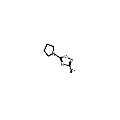 CC(C)c1noc(N2CCCC2)n1